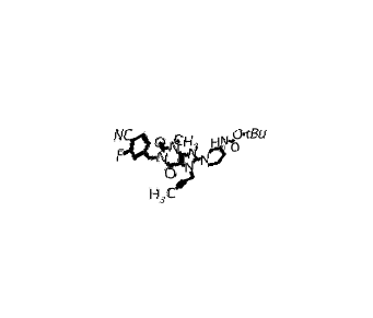 CC#CCn1c(N2CCC[C@@H](NC(=O)OC(C)(C)C)C2)nc2c1c(=O)n(Cc1ccc(C#N)c(F)c1)c(=O)n2C